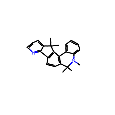 CN1c2ccccc2-c2c(ccc3c2C(C)(C)c2cccnc2-3)C1(C)C